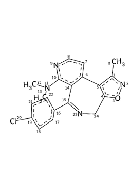 Cc1noc2c1-c1ccnc(N(C)C)c1C(c1ccc(Cl)cc1)=NC2